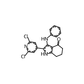 O=C1CCCc2[nH]c(-c3cc(Cl)nc(Cl)c3)c(Nc3ccccc3)c21